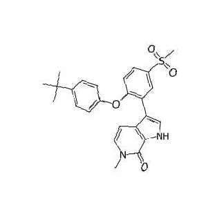 Cn1ccc2c(-c3cc(S(C)(=O)=O)ccc3Oc3ccc(C(C)(C)C)cc3)c[nH]c2c1=O